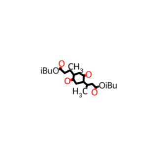 CC(C)COC(=O)CC(C)C1CC(=O)C(C(C)CC(=O)OCC(C)C)CC1=O